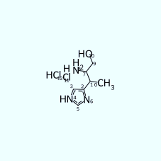 CC(c1c[nH]cn1)C(N)CO.Cl.Cl